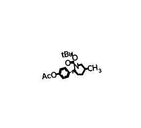 CC(=O)Oc1ccc([C@H]2CCC(C)CN2C(=O)OC(C)(C)C)cc1